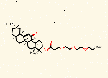 COCCOCCOCCOCCC(=O)O[C@H]1CC[C@@]2(C)[C@@H](CC[C@]3(C)[C@@H]2C(=O)C=C2[C@@H]4C[C@@](C)(C(=O)O)CC[C@]4(C)CC[C@]23C)[C@]1(C)C(=O)O